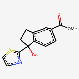 COC(=O)c1ccc2c(c1)CCC2(O)c1nccs1